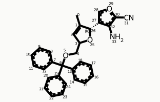 CC1=CC(COC(c2ccccc2)(c2ccccc2)c2ccccc2)O[C@H]1c1coc(C#N)c1N